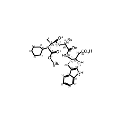 CC[C@H](C)[C@H](NC(=O)[C@H](C)N(C(=O)OC(C)(C)C)C1CCCCC1)C(=O)N[C@@H](Cc1c[nH]c2ccccc12)C(O)CC(=O)O